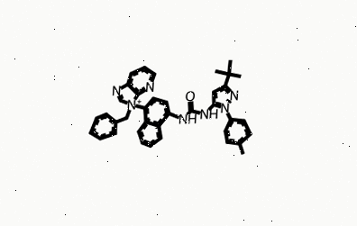 Cc1ccc(-n2nc(C(C)(C)C)cc2NC(=O)Nc2ccc([N+]3(Cc4ccccc4)C=Nc4cccnc43)c3ccccc23)cc1